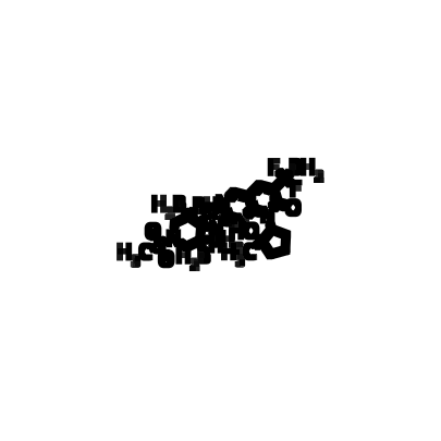 BC(F)(F)c1cc2cnc(NC3(B)C(B)(B)CN(S(C)(=O)=O)CC3(B)B)nc2n(C2CCCC2(C)O)c1=O